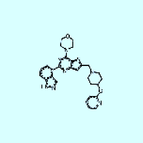 c1ccc(OC2CCN(Cc3cc4nc(-c5cccc6[nH]ncc56)nc(N5CCOCC5)c4s3)CC2)nc1